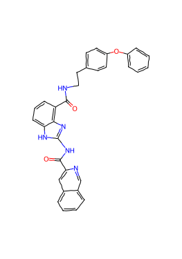 O=C(Nc1nc2c(C(=O)NCCc3ccc(Oc4ccccc4)cc3)cccc2[nH]1)c1cc2ccccc2cn1